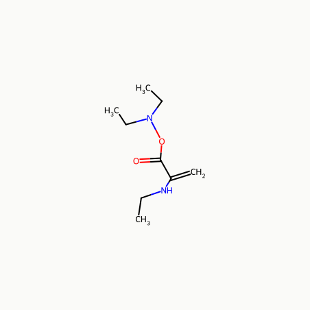 C=C(NCC)C(=O)ON(CC)CC